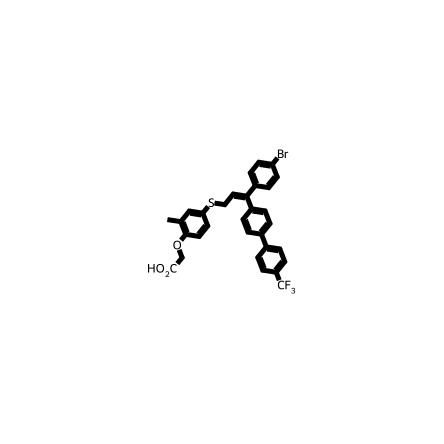 Cc1cc(SCC=C(c2ccc(Br)cc2)c2ccc(-c3ccc(C(F)(F)F)cc3)cc2)ccc1OCC(=O)O